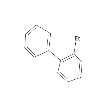 CCc1ccc[c]c1-c1ccccc1